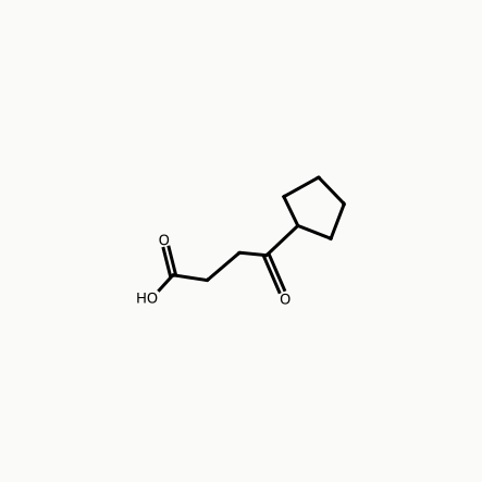 O=C(O)CCC(=O)C1CCCC1